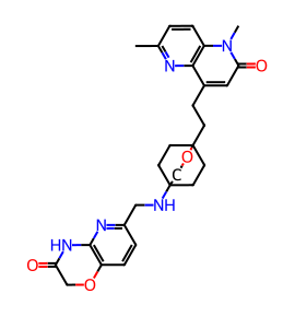 Cc1ccc2c(n1)c(CCC13CCC(NCc4ccc5c(n4)NC(=O)CO5)(CC1)CO3)cc(=O)n2C